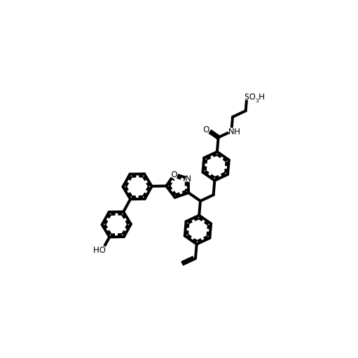 C=Cc1ccc(C(Cc2ccc(C(=O)NCCS(=O)(=O)O)cc2)c2cc(-c3cccc(-c4ccc(O)cc4)c3)on2)cc1